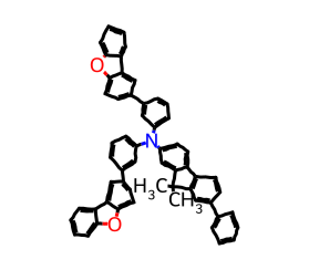 CC1(C)c2cc(-c3ccccc3)ccc2-c2ccc(N(c3cccc(-c4ccc5oc6ccccc6c5c4)c3)c3cccc(-c4ccc5oc6ccccc6c5c4)c3)cc21